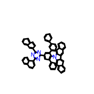 c1ccc(-c2cccc(-c3cc(-c4nc(-c5ccc6ccccc6c5)nc(-c5cccc6ccccc56)n4)cc(-c4ccccc4)c3-n3c4cc5ccccc5cc4c4cc5ccccc5cc43)c2)cc1